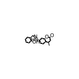 Cc1cc(=O)oc2cc(N/N=C\c3ccccc3O)ccc12